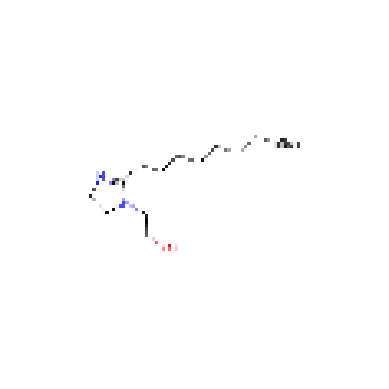 CCCCCCCCCCCCCCCCC1=NCCN1CCO